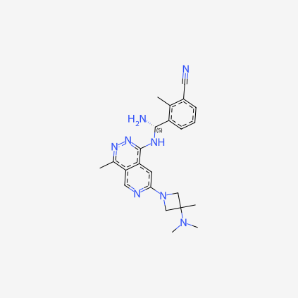 Cc1c(C#N)cccc1[C@@H](N)Nc1nnc(C)c2cnc(N3CC(C)(N(C)C)C3)cc12